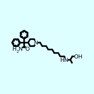 CC(CO)NCCCCCCCCCN1CCC(C(C(N)=O)(c2ccccc2)c2ccccc2)CC1